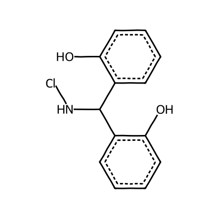 Oc1ccccc1C(NCl)c1ccccc1O